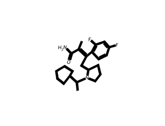 CC(C(N)=O)=C(CC1CCCN1C(C)C1CCCCC1)c1ccc(F)cc1F